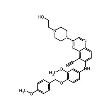 COc1ccc(COc2ccc(Nc3ccc4ncc(N5CCN(CCO)CC5)nc4c3C#N)cc2OC)cc1